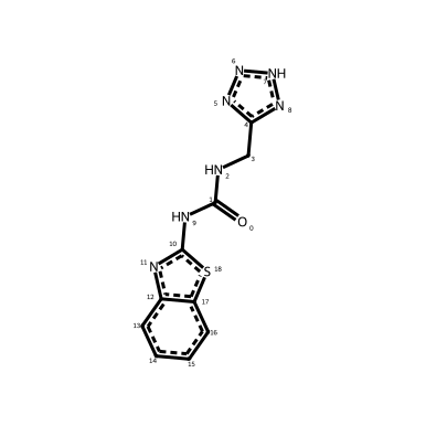 O=C(NCc1nn[nH]n1)Nc1nc2ccccc2s1